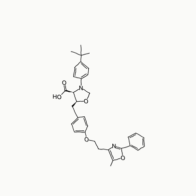 Cc1oc(-c2ccccc2)nc1CCOc1ccc(C[C@@H]2OCN(c3ccc(C(C)(C)C)cc3)[C@@H]2C(=O)O)cc1